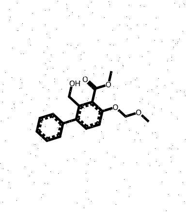 COCOc1ccc(-c2ccccc2)c(CO)c1C(=O)OC